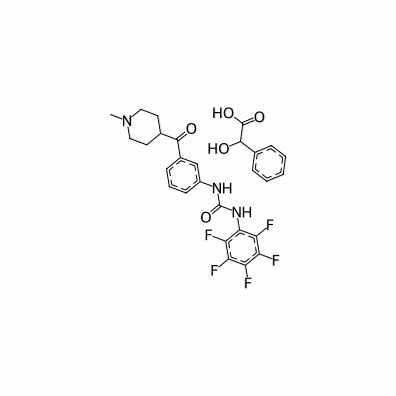 CN1CCC(C(=O)c2cccc(NC(=O)Nc3c(F)c(F)c(F)c(F)c3F)c2)CC1.O=C(O)C(O)c1ccccc1